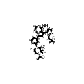 CC(=O)N1C[C@H](C)N(c2cc(-c3cc(-c4ccnn4CC(F)(F)F)c4c(N)ncnn34)ccn2)C(=O)C1(C)C